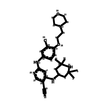 CC1(C)CC(Nc2nc(Nc3ccc(OCCN4CCOCC4)c(Cl)c3)ncc2C#N)CC(C)(C)N1